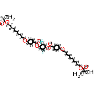 C=C(C)C(=O)OCCCCCCCCCCOc1ccc(C(=O)Oc2cc(F)c(OC(=O)c3ccc(OCCCCCCCCCCOC(=O)C(=C)C)cc3)cc2F)cc1